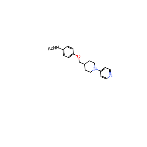 CC(=O)Nc1ccc(OCC2CCN(c3ccncc3)CC2)cc1